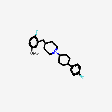 COc1ccc(F)c(CC2CCN(C3CCC(c4ccc(F)cc4)CC3)CC2)c1